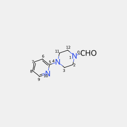 O=CN1CCN(c2ccccn2)CC1